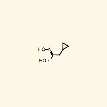 O=C(O)C(CC1CC1)=NO